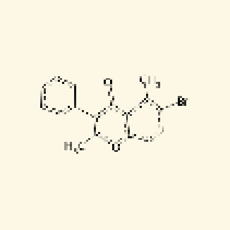 Cc1oc2ccc(Br)c(C)c2c(=O)c1-c1ccccc1